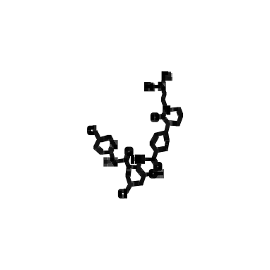 CCN(CC)CCn1cccc(-c2ccc(C(=O)Nc3c(O)cc(Cl)cc3C(=O)Nc3ccc(Cl)cn3)cc2)c1=O